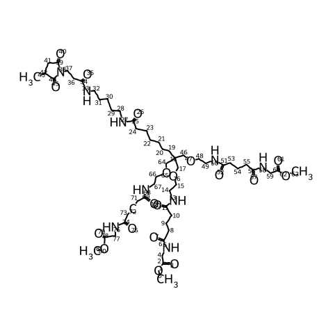 COC(=O)CNC(=O)CCCC(=O)NCCOCC(CCCCCCC(=O)NCCCCCNC(=O)CCN1C(=O)CC(C)C1=O)(COCCNC(=O)CCCC(=O)NCC(=O)OC)COCCNC(=O)CCCC(=O)NCC(=O)OC